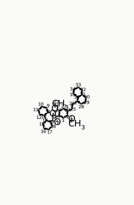 COc1cc(P2(=O)Oc3ccccc3-c3ccccc32)c(OC)cc1C=Cc1cccc2ccccc12